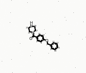 O=C(c1ccc(OCc2ccccc2)cc1)N1CCNCC1